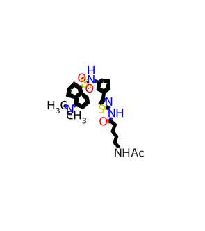 CC(=O)NCCCCCC(=O)Nc1nc(-c2cccc(NS(=O)(=O)c3cccc4c(N(C)C)cccc34)c2)cs1